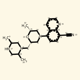 CC1CN(C[C@H]2CN(c3ccc(C#N)c4ncccc34)C[C@@H](C)O2)C(C)CN1